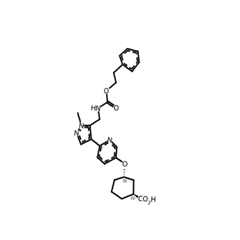 Cn1ncc(-c2ccc(O[C@H]3CCC[C@H](C(=O)O)C3)cn2)c1CNC(=O)OCCc1ccccc1